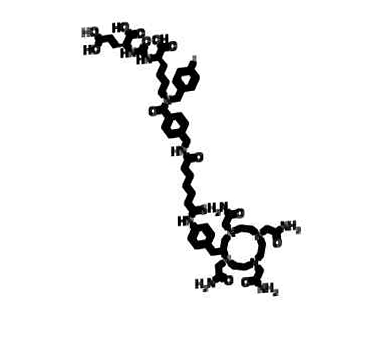 NC(=O)CN1CCN(CC(N)=O)CCN(CC(N)=O)C(Cc2ccc(NC(=S)CCCCCC(=O)NCc3ccc(C(=O)N(CCCC[C@@H](NC(=O)N[C@H](CCC(O)O)C(=O)O)C(=O)O)Cc4ccc(I)cc4)cc3)cc2)CN(CC(N)=O)CC1